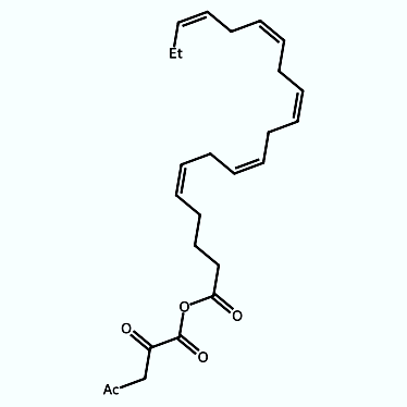 CC/C=C\C/C=C\C/C=C\C/C=C\C/C=C\CCCC(=O)OC(=O)C(=O)CC(C)=O